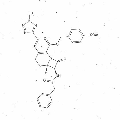 COc1ccc(COC(=O)C2=C(C=Cc3nnn(C)n3)CS[C@H]3[C@H](NC(=O)Cc4ccccc4)C(=O)N23)cc1